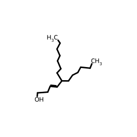 CCCCCCCC(/C=C/CCO)CCCCCC